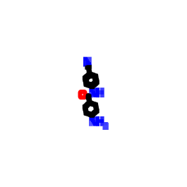 N#Cc1ccc(NC(=O)C2CCC(N)CC2)cc1